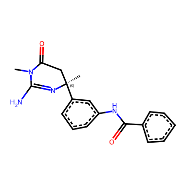 CN1C(=O)C[C@@](C)(c2cccc(NC(=O)c3ccccc3)c2)N=C1N